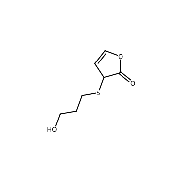 O=C1OC=CC1SCCCO